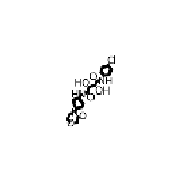 O=C(Nc1ccc(Cl)cc1)[C@@H](O)[C@H](O)C(=O)Nc1ccc(N2CCOCC2=O)cc1